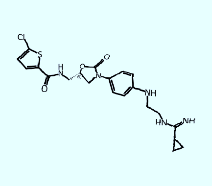 N=C(NCCNc1ccc(N2C[C@H](CNC(=O)c3ccc(Cl)s3)OC2=O)cc1)C1CC1